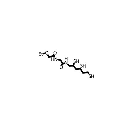 CCOCC(=O)NCC(=O)NCC(S)CC(S)CCS